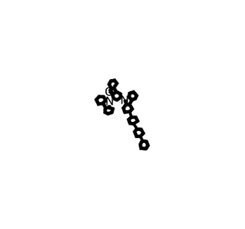 c1ccc(-c2ccc(-c3ccc(-c4ccc5c(c4)c4ccccc4n5-c4cc(-n5c6ccccc6c6ccccc65)c5oc6ccccc6c5c4)cc3)cc2)cc1